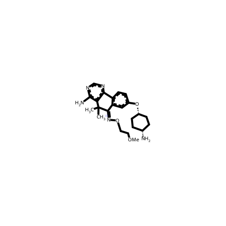 COCCO/N=C1\c2cc(O[C@H]3CC[C@@H](N)CC3)ccc2-c2ncnc(N)c2C1(C)C